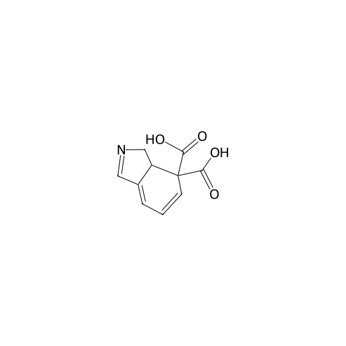 O=C(O)C1(C(=O)O)C=CC=C2C=NCC21